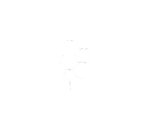 Cc1cc(F)c(-n2c(C)c(C)s/c2=N/CC(F)(F)F)cc1SCC(F)(F)F